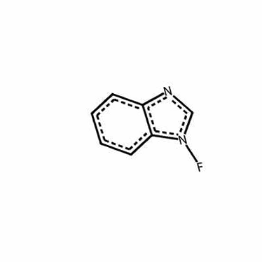 Fn1cnc2ccccc21